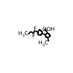 CCC/C(F)=C(\F)c1ccc(-c2cc(CC)ccc2C(=O)O)cc1